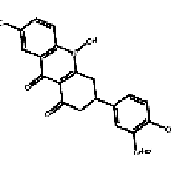 CCCCCCc1cc(C2CC(=O)c3c(n(O)c4ccc(Cl)cc4c3=O)C2)ccc1Cl